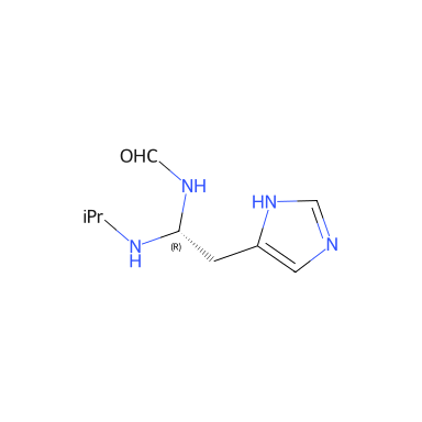 CC(C)N[C@@H](Cc1cnc[nH]1)NC=O